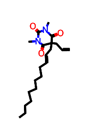 C=CCC1(CC=CCCCCCCCCC)C(=O)N(C)C(=O)N(C)C1=O